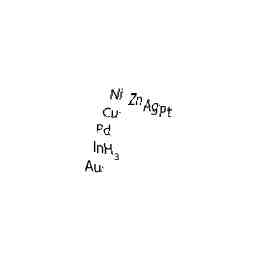 [Ag].[Au].[Cu].[InH3].[Ni].[Pd].[Pt].[Zn]